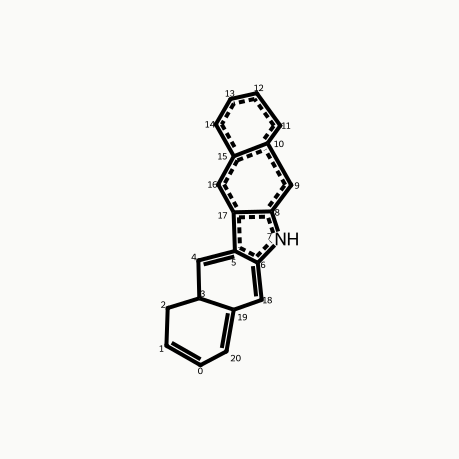 C1=CCC2C=c3c([nH]c4cc5ccccc5cc34)=CC2=C1